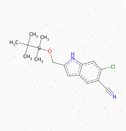 CC(C)(C)[Si](C)(C)OCc1cc2cc(C#N)c(Cl)cc2[nH]1